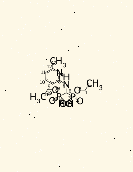 CCOP(=O)(O)C(Nc1cccc(C)n1)P(=O)(O)OCC